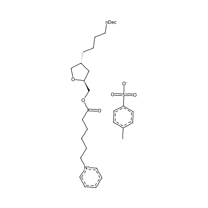 CCCCCCCCCCCCCC[C@H]1CO[C@H](COC(=O)CCCCC[n+]2ccccc2)C1.Cc1ccc(S(=O)(=O)[O-])cc1